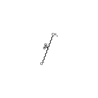 CCCCCCCC/C(=C/CCCCCCC[C]=O)[N+](=O)[O-]